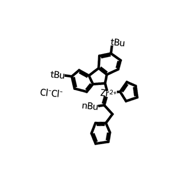 CCCC/[C](Cc1ccccc1)=[Zr+2](/[C]1=CC=CC1)[CH]1c2ccc(C(C)(C)C)cc2-c2cc(C(C)(C)C)ccc21.[Cl-].[Cl-]